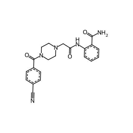 N#Cc1ccc(C(=O)N2CCN(CC(=O)Nc3ccccc3C(N)=O)CC2)cc1